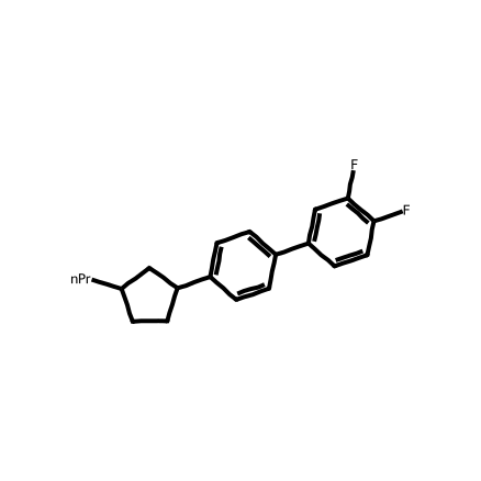 CCCC1CCC(c2ccc(-c3ccc(F)c(F)c3)cc2)C1